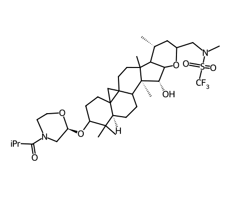 CC(C)C(=O)N1CCO[C@@H](OC2CCC34CC35CCC3(C)C6C(OC(CN(C)S(=O)(=O)C(F)(F)F)C[C@H]6C)[C@H](O)[C@@]3(C)C5CC[C@H]4C2(C)C)C1